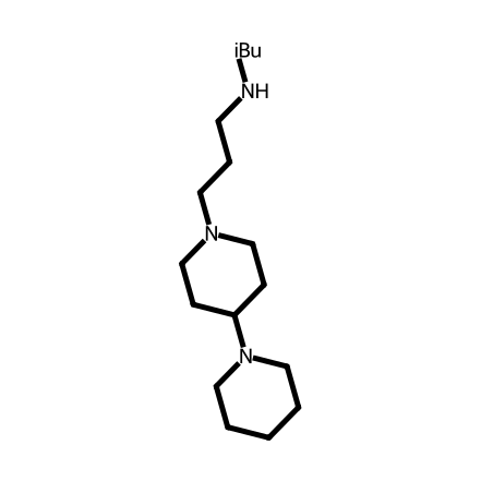 CCC(C)NCCCN1CCC(N2CCCCC2)CC1